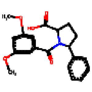 COc1cc(OC)cc(C(=O)N2C(C(=O)O)CCC2c2ccccc2)c1